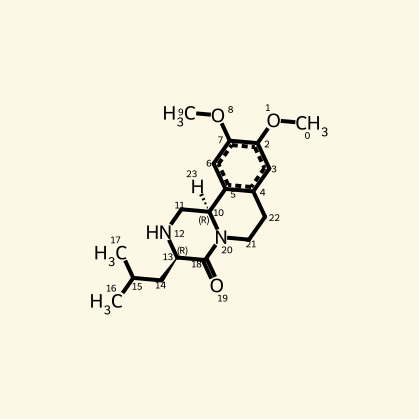 COc1cc2c(cc1OC)[C@@H]1CN[C@H](CC(C)C)C(=O)N1CC2